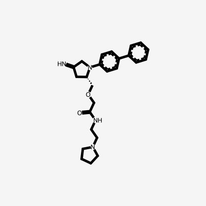 N=C1C[C@@H](COCC(=O)NCCN2CCCC2)N(c2ccc(-c3ccccc3)cc2)C1